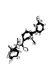 CC1C(NC(=O)c2ccc(-c3cccc(F)n3)n2C)C2CCN1CC2